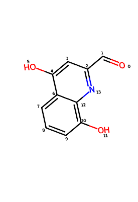 O=Cc1cc(O)c2cccc(O)c2n1